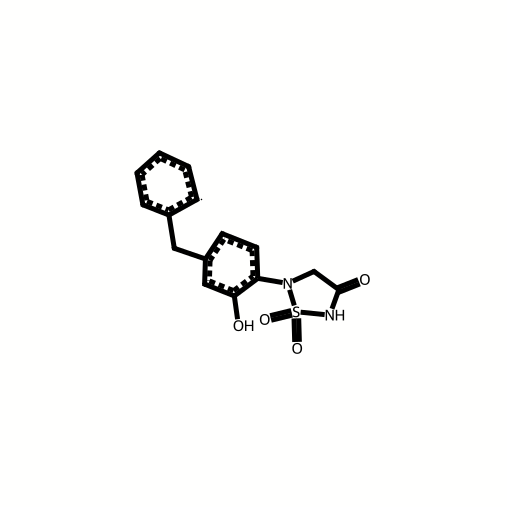 O=C1CN(c2ccc(Cc3[c]cccc3)cc2O)S(=O)(=O)N1